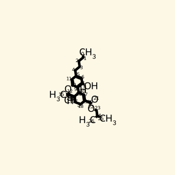 CCCCCc1cc(O)c2c(c1)OC(C)(C)[C@@H]1CCC(C(=O)OCC(C)C)=C[C@@H]21